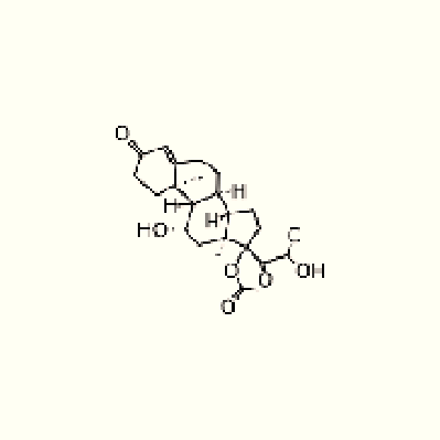 CC(=O)O[C@]1(C(=O)C(O)Cl)CC[C@H]2[C@@H]3CCC4=CC(=O)CC[C@]4(C)[C@H]3[C@@H](O)C[C@@]21C